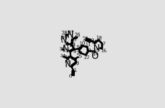 C#Cc1cc(C)c(-c2c(C3=CCC(C(=O)N4CCCC4C#C)CC3)c3c(C)ncnc3n2C)c(C)n1